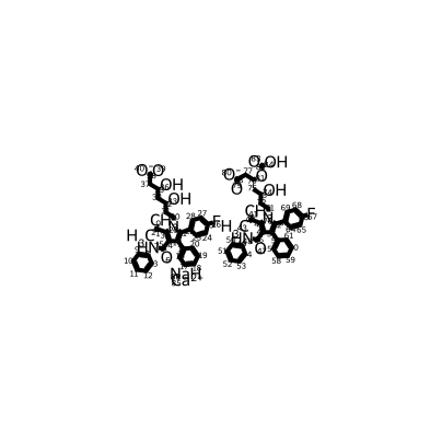 CC(C)c1c(C(=O)Nc2ccccc2)c(-c2ccccc2)c(-c2ccc(F)cc2)n1CC[C@@H](O)C[C@@H](O)CC(=O)[O-].CC(C)c1c(C(=O)Nc2ccccc2)c(-c2ccccc2)c(-c2ccc(F)cc2)n1CC[C@@H](O)C[C@H](CC(=O)[O-])OC(=O)O.[Ca+2].[NaH]